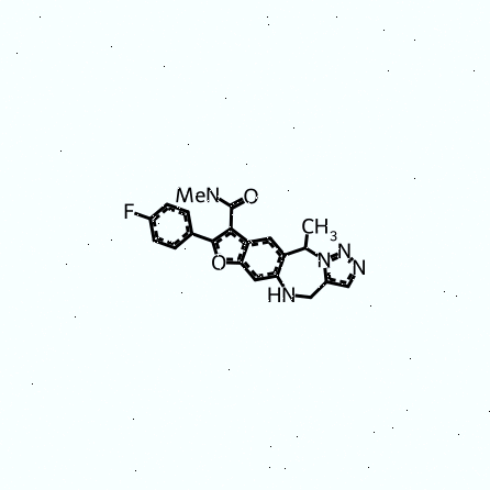 CNC(=O)c1c(-c2ccc(F)cc2)oc2cc3c(cc12)C(C)n1nncc1CN3